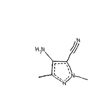 Cc1nn(C)c(C#N)c1N